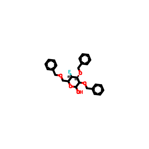 OC1OC(COCc2ccccc2)[C@@H](F)[C@H](OCc2ccccc2)C1OCc1ccccc1